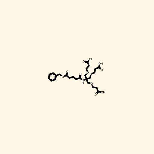 O=C(O)CCOCC(COCCC(=O)O)(COCCC(=O)O)NC(=O)CCCC(=O)OCc1ccccc1